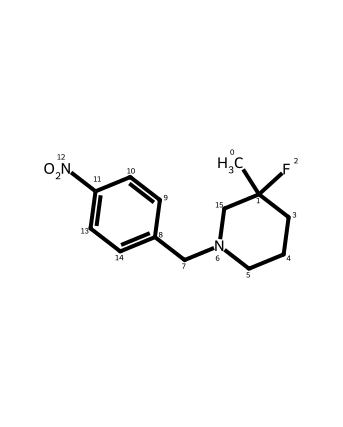 CC1(F)CCCN(Cc2ccc([N+](=O)[O-])cc2)C1